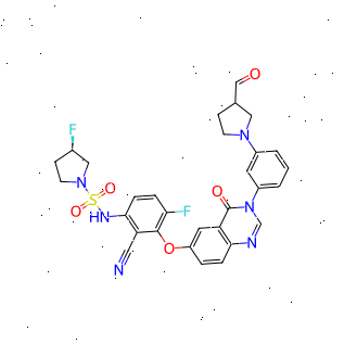 N#Cc1c(NS(=O)(=O)N2CC[C@@H](F)C2)ccc(F)c1Oc1ccc2ncn(-c3cccc(N4CCC(C=O)C4)c3)c(=O)c2c1